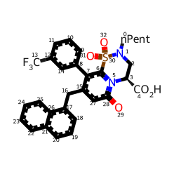 CCCCCN1C[C@@H](C(=O)O)n2c(c(-c3cccc(C(F)(F)F)c3)c(Cc3cccc4ccccc34)cc2=O)S1(=O)=O